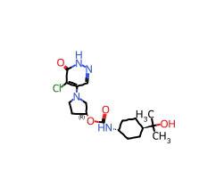 CC(C)(O)[C@H]1CC[C@H](NC(=O)O[C@@H]2CCN(c3cn[nH]c(=O)c3Cl)C2)CC1